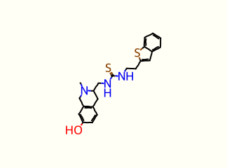 CN1Cc2cc(O)ccc2CC1CNC(=S)NCCc1cc2ccccc2s1